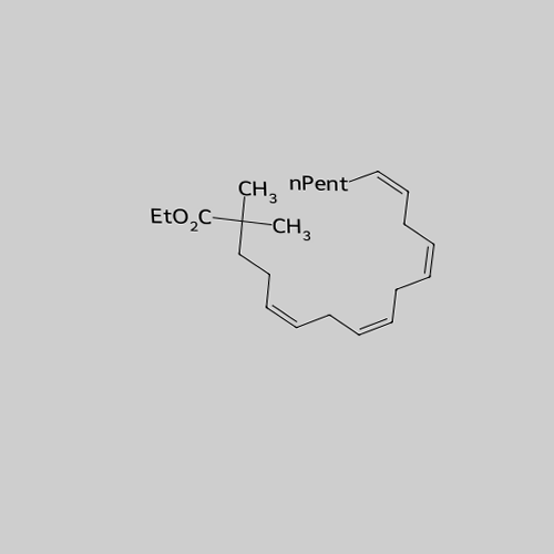 CCCCC/C=C\C/C=C\C/C=C\C/C=C\CCC(C)(C)C(=O)OCC